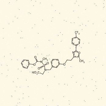 Cc1oc(-c2ccc(C(F)(F)F)cc2)nc1CCOc1cccc(CN(CC(=O)O)S(=O)(=O)N(C)C(=O)Oc2ccccc2)c1